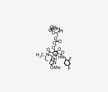 COC1=NO[C@@]2(CC[C@H](C)N3C[C@H]2n2cc(C(=O)NCc4ccc(F)cc4F)c(=O)c(OCOC(=O)OC[C@@H](OP(=O)(O)O)C(C)C)c2C3=O)C1